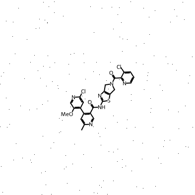 COc1cnc(Cl)cc1-c1cc(C)ncc1C(=O)Nc1nc2c(s1)CN(C(=O)c1ncccc1Cl)C2